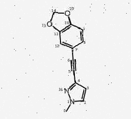 Cn1ccc(C#Cc2ccc3c(c2)OCO3)n1